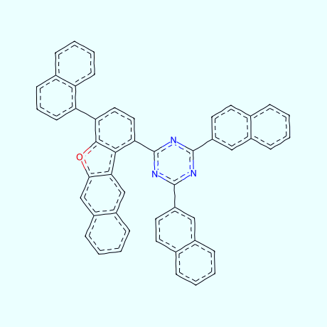 c1ccc2cc(-c3nc(-c4ccc5ccccc5c4)nc(-c4ccc(-c5cccc6ccccc56)c5oc6cc7ccccc7cc6c45)n3)ccc2c1